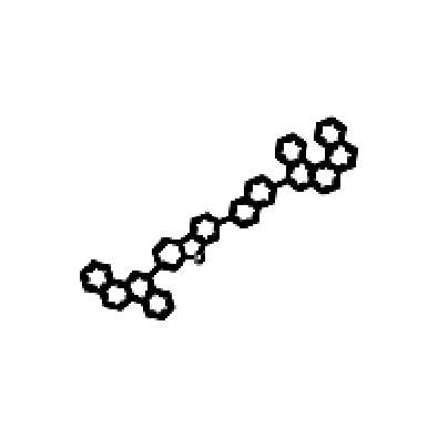 C1=CC2c3ccc(-c4ccc5cc(-c6cc7ccc8ccc9ccccc9c8c7c7ccccc67)ccc5c4)cc3OC2C=C1c1cc2c3ccccc3ccc2c2ccccc12